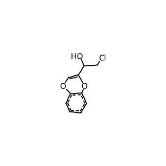 OC(CCl)C1=COc2ccccc2O1